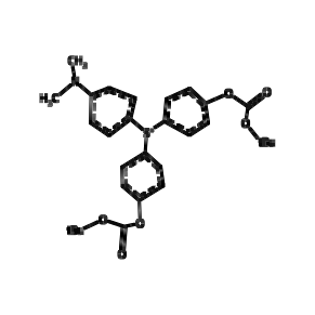 CN(C)c1ccc([S+](c2ccc(OC(=O)OC(C)(C)C)cc2)c2ccc(OC(=O)OC(C)(C)C)cc2)cc1